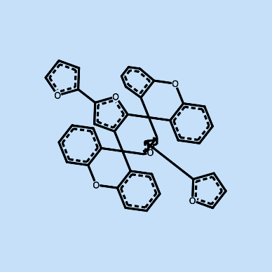 c1coc(-c2cc3c(o2)C2(c4ccccc4Oc4ccccc42)c2cc(-c4ccco4)oc2C32c3ccccc3Oc3ccccc32)c1